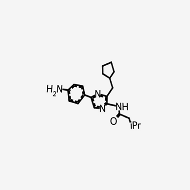 CC(C)CC(=O)Nc1ncc(-c2ccc(N)cc2)nc1CC1CCCC1